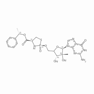 C[C@H](OC(=O)[C@H]1CS[P@@](=O)(OCC2O[C@@H](n3cnc4c(=O)[nH]c(N)nc43)[C@](C)(O)[C@@H]2O)N1)c1ccccc1